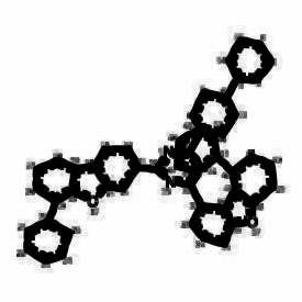 c1ccc(-c2ccc(-c3nc(-c4ccc5c(c4)oc4c(-c6ccccc6)cccc45)nc(-c4cccc5oc6cccc(-c7ccccc7)c6c45)n3)cc2)cc1